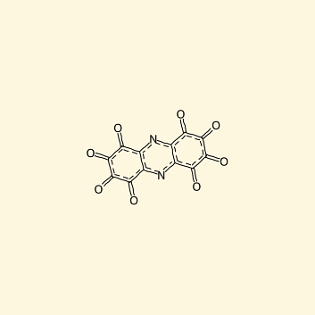 O=c1c(=O)c(=O)c2nc3c(=O)c(=O)c(=O)c(=O)c3nc2c1=O